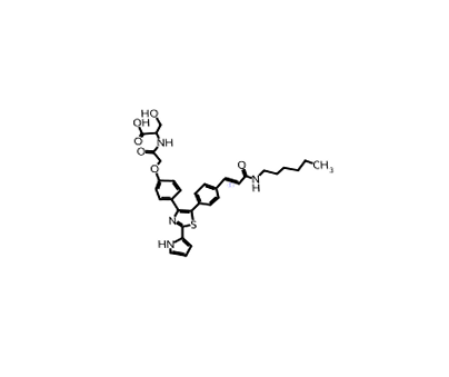 CCCCCCNC(=O)/C=C/c1ccc(-c2sc(-c3ccc[nH]3)nc2-c2ccc(OCC(=O)NC(CO)C(=O)O)cc2)cc1